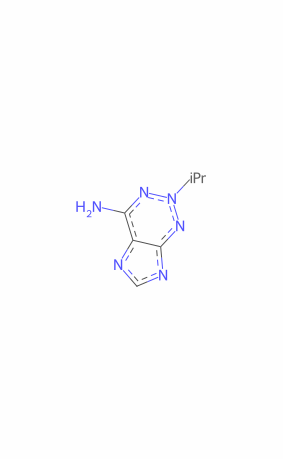 CC(C)n1nc2ncnc-2c(N)n1